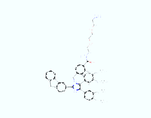 COc1ccc(-c2nc(-c3ccc4c(c3)-c3ccccc3C4)n(Cc3ccc(C(=O)NCCOCCOCCN)cc3)c2-c2ccc(OC)c(OC)c2)cc1OC